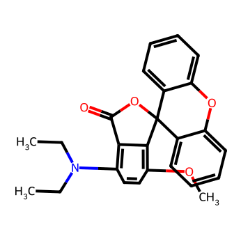 CCN(CC)c1ccc(OC)c2c1C(=O)OC21c2ccccc2Oc2ccccc21